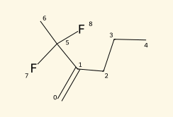 C=C(CCC)C(C)(F)F